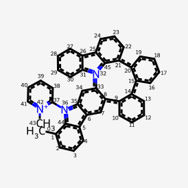 Cc1cccc2c3cc4c5ccccc5c5ccccc5c5cccc6c7ccccc7n(c4cc3n(-c3cccc[n+]3C)c12)c56